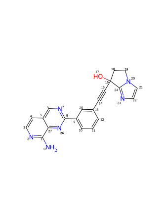 Nc1nccc2cnc(-c3cccc(C#CC4(O)CCn5ccnc54)c3)nc12